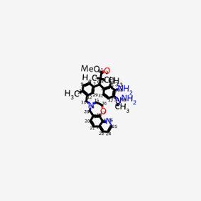 COC(=O)C(C)(C)C(c1ccc(C)c(CN2CCOc3c(ccc4cccnc34)C2)c1)c1ccc(N(C)N)c(N)c1C